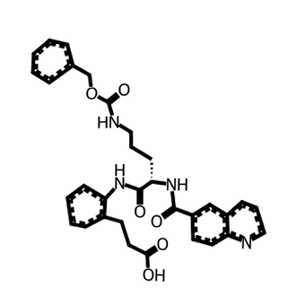 O=C(O)CCc1ccccc1NC(=O)[C@H](CCCNC(=O)OCc1ccccc1)NC(=O)c1ccc2ncccc2c1